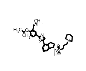 CN=Cc1cc(-c2ncc(-c3cccc4c3CC[C@@H]4NS(=O)(=O)CCCN3CCCCC3)s2)ccc1OC(C)C